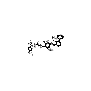 COc1cc(OCc2cccc(-c3ccccc3)c2C)cc(OC)c1CNCC(=O)NCC(=O)S(=O)(=O)c1ccc([N+](=O)[O-])cc1